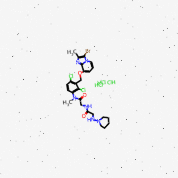 Cc1nc2c(OCc3c(Cl)ccc(N(C)C(=O)CNC(=O)CNN4CCCCC4)c3Cl)cccn2c1Br.Cl.Cl.Cl